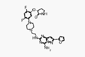 Nc1nc(NCCN2CCN(c3cc(O[C@@H]4CCNC4=O)c(F)cc3F)CC2)nc2cc(-c3ccco3)nn12